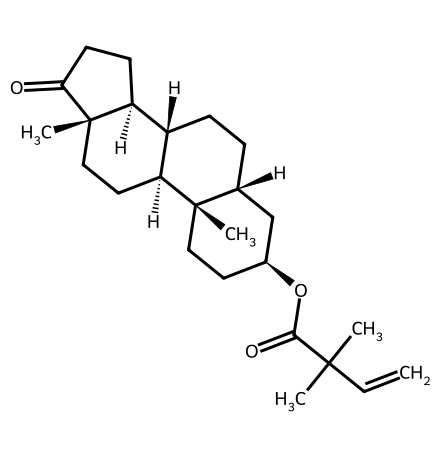 C=CC(C)(C)C(=O)O[C@H]1CC[C@@]2(C)[C@H](CC[C@@H]3[C@@H]2CC[C@]2(C)C(=O)CC[C@@H]32)C1